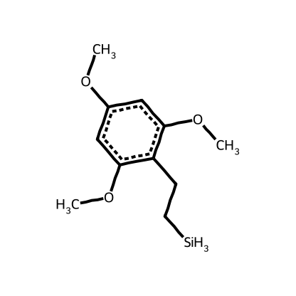 COc1cc(OC)c(CC[SiH3])c(OC)c1